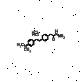 CN(C)c1ccc(CCc2ccc(CC(=O)NN)cc2)cc1.Cl.Cl